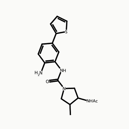 CC(=O)NC1CN(C(=O)Nc2cc(-c3cccs3)ccc2N)CC1C